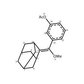 COC(=C1C2CC3CC(C2)CC1C3)c1cccc(OC(C)=O)c1